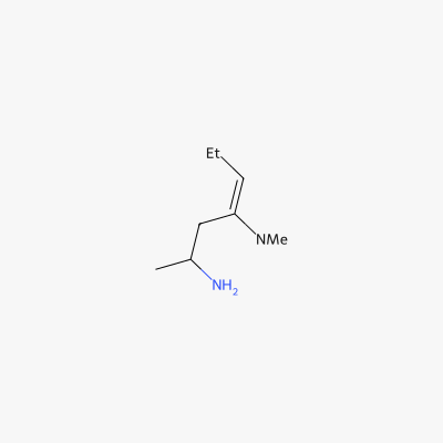 CC/C=C(\CC(C)N)NC